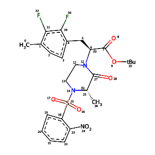 Cc1ccc(C[C@@H](C(=O)OC(C)(C)C)N2CCN(S(=O)(=O)c3ccccc3[N+](=O)[O-])[C@@H](C)C2=O)c(F)c1F